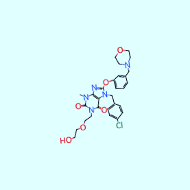 Cn1c(=O)n(CCOCCO)c(=O)c2c1nc(Oc1cccc(CN3CCOCC3)c1)n2Cc1ccc(Cl)cc1